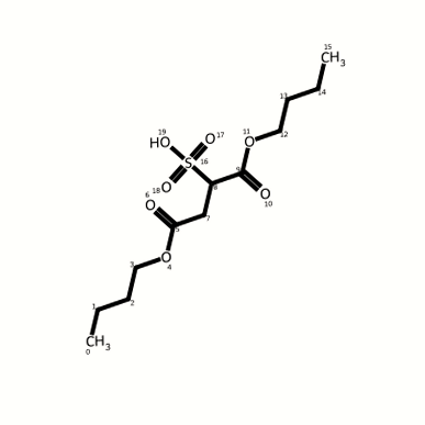 CCCCOC(=O)CC(C(=O)OCCCC)S(=O)(=O)O